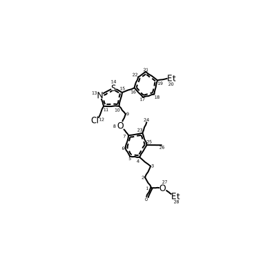 C=C(CCc1ccc(OCc2c(Cl)nsc2-c2ccc(CC)cc2)c(C)c1C)OCC